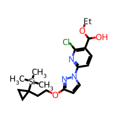 CCOC(O)c1ccc(-n2ccc(OCCC3([Si](C)(C)C)CC3)n2)nc1Cl